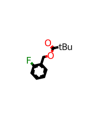 CC(C)(C)C(=O)OCc1ccccc1F